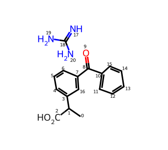 CC(C(=O)O)c1cccc(C(=O)c2ccccc2)c1.N=C(N)N